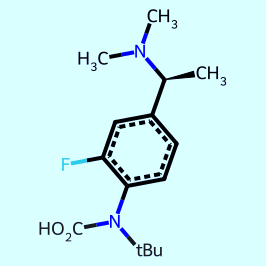 C[C@@H](c1ccc(N(C(=O)O)C(C)(C)C)c(F)c1)N(C)C